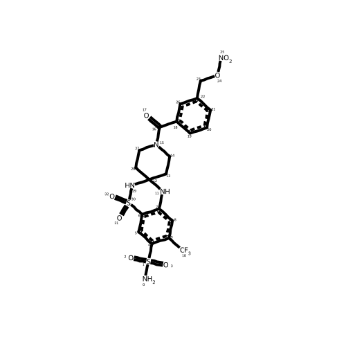 NS(=O)(=O)c1cc2c(cc1C(F)(F)F)NC1(CCN(C(=O)c3cccc(CO[N+](=O)[O-])c3)CC1)NS2(=O)=O